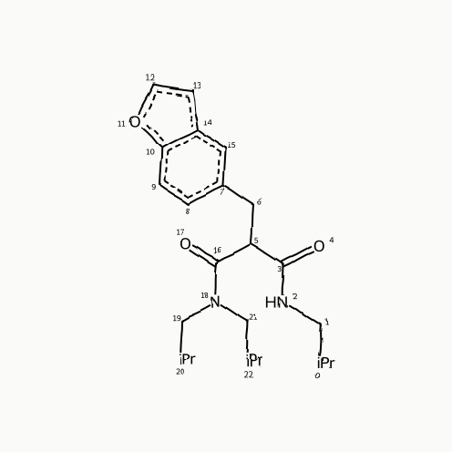 CC(C)CNC(=O)C(Cc1ccc2occc2c1)C(=O)N(CC(C)C)CC(C)C